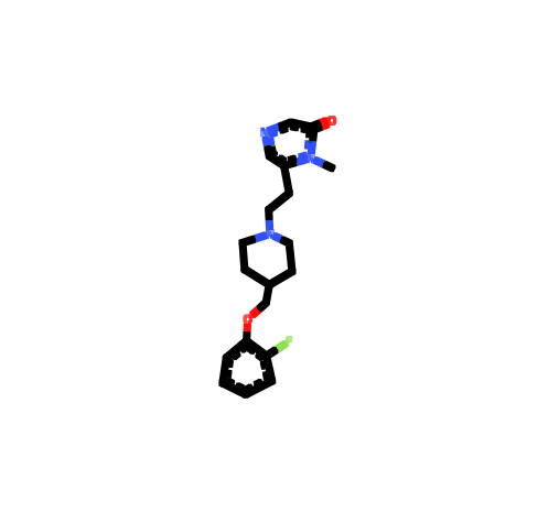 Cn1c(CCN2CCC(COc3ccccc3F)CC2)cncc1=O